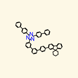 c1ccc(-c2ccc(-c3nc(-c4ccc(-c5ccccc5)cc4)nc(-c4cccc(-c5cccc(-c6ccc(-c7ccc8c(c7)C7(CCCCC7)c7ccccc7-8)cc6)c5)c4)n3)cc2)cc1